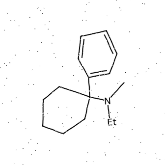 CCN(C)C1(c2ccccc2)CCCCC1